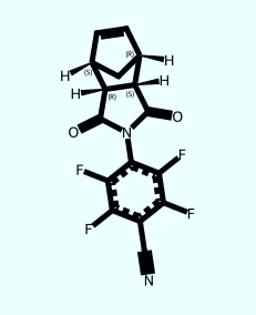 N#Cc1c(F)c(F)c(N2C(=O)[C@@H]3[C@H](C2=O)[C@@H]2C=C[C@H]3C2)c(F)c1F